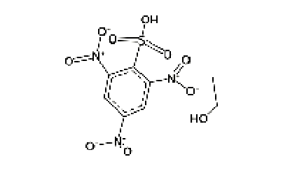 CCO.O=[N+]([O-])c1cc([N+](=O)[O-])c(S(=O)(=O)O)c([N+](=O)[O-])c1